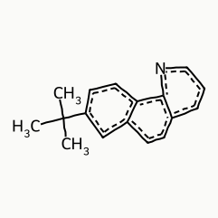 CC(C)(C)c1ccc2c(ccc3cccnc32)c1